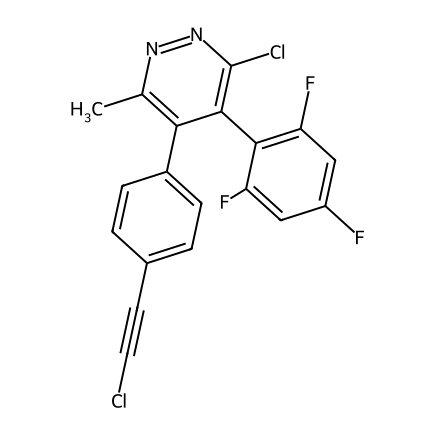 Cc1nnc(Cl)c(-c2c(F)cc(F)cc2F)c1-c1ccc(C#CCl)cc1